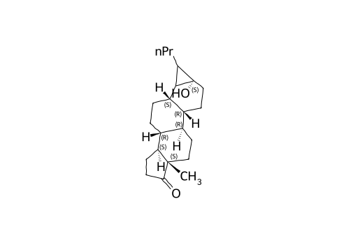 CCCC1C2[C@H]3CC[C@@H]4[C@H](CC[C@]5(C)C(=O)CC[C@@H]45)[C@H]3CC[C@]12O